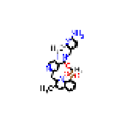 Cc1cc2cccc(S(C)(=O)=O)c2nc1Cc1cc(C(=O)NCc2ccc(N)nc2C)ccn1